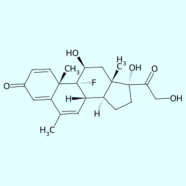 CC1=C[C@H]2[C@@H]3CC[C@](O)(C(=O)CO)[C@@]3(C)C[C@H](O)[C@]2(F)[C@@]2(C)C=CC(=O)C=C12